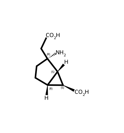 N[C@@]1(CC(=O)O)CC[C@H]2[C@H](C(=O)O)[C@H]21